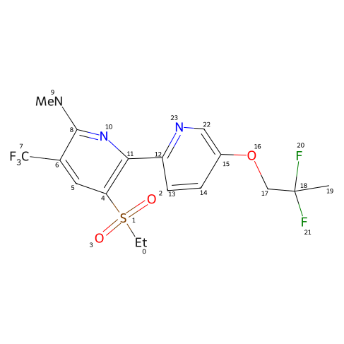 CCS(=O)(=O)c1cc(C(F)(F)F)c(NC)nc1-c1ccc(OCC(C)(F)F)cn1